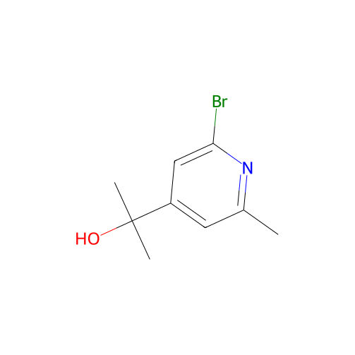 Cc1cc(C(C)(C)O)cc(Br)n1